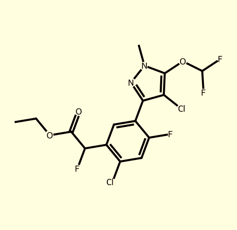 CCOC(=O)C(F)c1cc(-c2nn(C)c(OC(F)F)c2Cl)c(F)cc1Cl